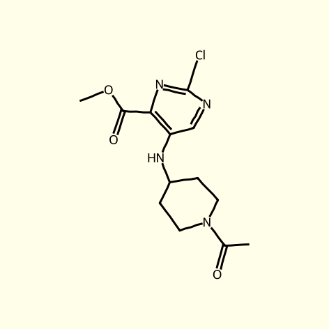 COC(=O)c1nc(Cl)ncc1NC1CCN(C(C)=O)CC1